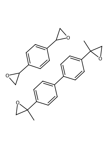 CC1(c2ccc(-c3ccc(C4(C)CO4)cc3)cc2)CO1.c1cc(C2CO2)ccc1C1CO1